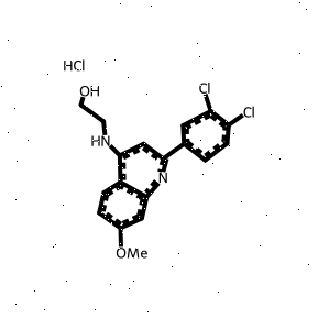 COc1ccc2c(NCCO)cc(-c3ccc(Cl)c(Cl)c3)nc2c1.Cl